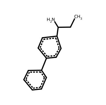 CCC(N)c1ccc(-c2ccccc2)cc1